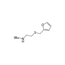 CC(C)(C)NCCSCc1ccco1